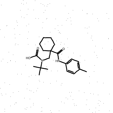 Cc1ccc(NC(=O)C2(CN(C(=O)O)C(C)(C)C)CCCCC2)cc1